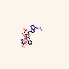 COC(=O)[C@H](C)NP(=O)(Nc1ccccc1)OC[C@@](C)(OC)[C@@H](OC(C)=O)[C@@H](OC(C)=O)c1ccc2c(N)ncnn12